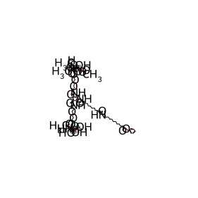 CC(=O)N[C@H]1C(OCCOCCOCCNC(=O)c2cc(NC(=O)CCCCCCCCCCC(=O)NCCCCCCCCCCCC(=O)OCc3ccccc3)cc(C(=O)NCCOCCOCCOC3O[C@H](COC(C)=O)[C@H](O)[C@H](OC(C)=O)[C@H]3NC(C)=O)c2)O[C@H](CO)[C@H](O)[C@@H]1O